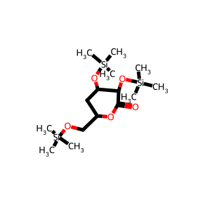 C[Si](C)(C)OCC1CC(O[Si](C)(C)C)C(O[Si](C)(C)C)C(=O)O1